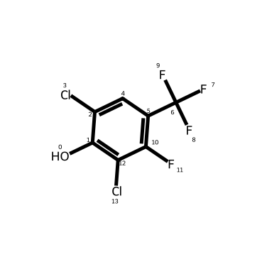 Oc1c(Cl)cc(C(F)(F)F)c(F)c1Cl